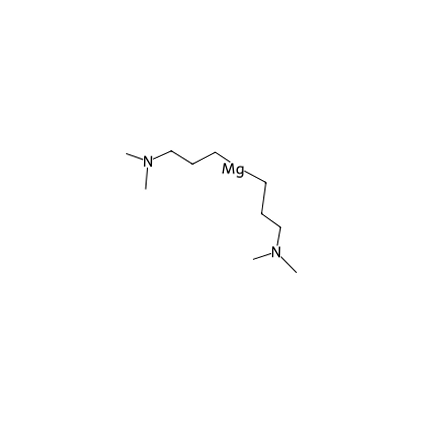 CN(C)CC[CH2][Mg][CH2]CCN(C)C